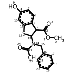 COC(=O)C1c2ccc(O)cc2SC1N(Cc1ccccc1)C(C)=O